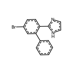 Brc1ccc(-c2ncc[nH]2)c(-c2ccccc2)c1